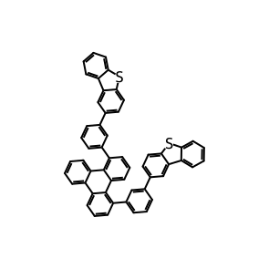 c1cc(-c2ccc3sc4ccccc4c3c2)cc(-c2cccc3c2c2ccccc2c2cccc(-c4cccc(-c5ccc6sc7ccccc7c6c5)c4)c23)c1